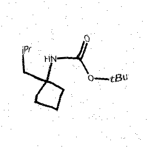 CC(C)CC1(NC(=O)OC(C)(C)C)CCC1